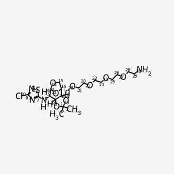 CC1(C)O[C@@H]2[C@@H](Nc3nc(Cl)ns3)[C@H]3OC[C@](COCCOCCOCCOCCN)(O3)[C@@H]2O1